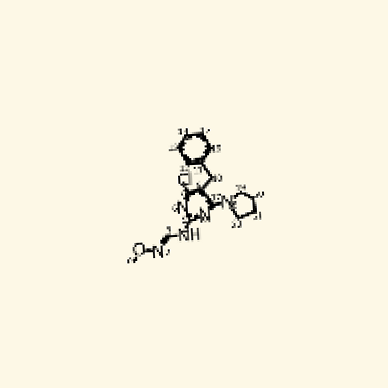 CO/N=C/Nc1nc(Cl)c(Cc2ccccc2)c(N2CCCC2)n1